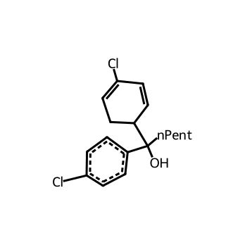 CCCCCC(O)(c1ccc(Cl)cc1)C1C=CC(Cl)=CC1